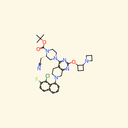 CC(C)(C)OC(=O)N1CCN(c2nc(OC3CCC3N3CCC3)nc3c2CCN(c2cccc4ccc(F)c(Cl)c24)C3)C[C@@H]1CC#N